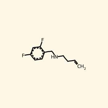 C=CCCNCc1ccc(F)cc1F